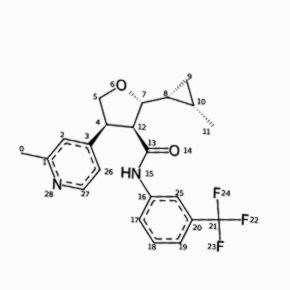 Cc1cc([C@H]2CO[C@H]([C@@H]3C[C@@H]3C)[C@H]2C(=O)Nc2cccc(C(F)(F)F)c2)ccn1